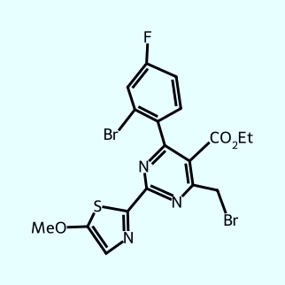 CCOC(=O)c1c(CBr)nc(-c2ncc(OC)s2)nc1-c1ccc(F)cc1Br